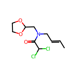 CC=CCN(CC1OCCO1)C(=O)C(Cl)Cl